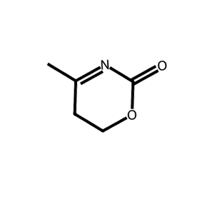 CC1=NC(=O)OCC1